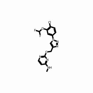 CNc1ccnc(OCc2cn(-c3ccc(Cl)c(OC(F)F)c3)nn2)n1